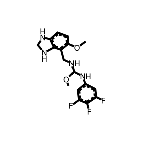 COc1ccc2c(c1CNC(Nc1cc(F)c(F)c(F)c1)OC)NCN2